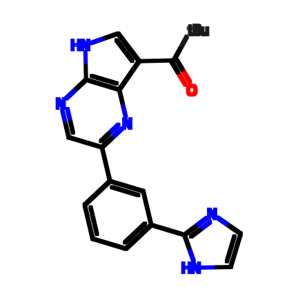 CC(C)(C)C(=O)c1c[nH]c2ncc(-c3cccc(-c4ncc[nH]4)c3)nc12